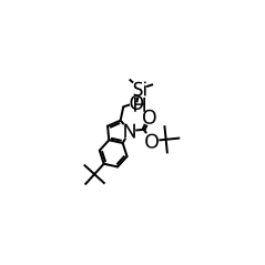 C[SiH](C)OCc1cc2cc(C(C)(C)C)ccc2n1C(=O)OC(C)(C)C